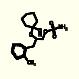 Cc1ccccc1CC(COS(N)(=O)=O)OC1(O)CCCCC1